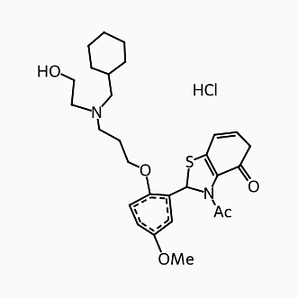 COc1ccc(OCCCN(CCO)CC2CCCCC2)c(C2SC3=C(C(=O)CC=C3)N2C(C)=O)c1.Cl